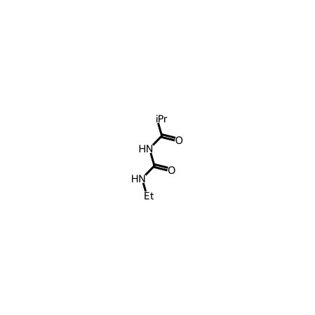 CCNC(=O)NC(=O)C(C)C